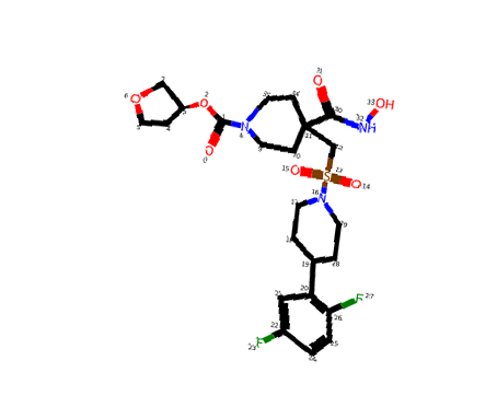 O=C(O[C@H]1CCOC1)N1CCC(CS(=O)(=O)N2CCC(c3cc(F)ccc3F)CC2)(C(=O)NO)CC1